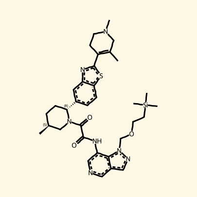 CC1=C(c2nc3cc([C@H]4CC[C@H](C)CN4C(=O)C(=O)Nc4cncc5cnn(COCC[Si](C)(C)C)c45)ccc3s2)CCN(C)C1